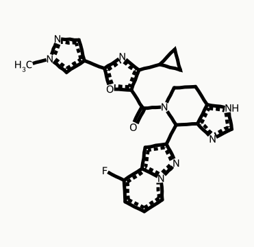 Cn1cc(-c2nc(C3CC3)c(C(=O)N3CCc4[nH]cnc4C3c3cc4c(F)cccn4n3)o2)cn1